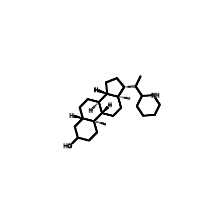 CC(C1CCCCN1)[C@H]1CC[C@H]2[C@@H]3CC[C@H]4CC(O)CC[C@]4(C)[C@H]3CC[C@]12C